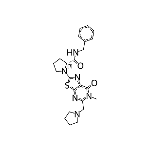 Cn1c(CN2CCCC2)nc2sc(N3CCC[C@@H]3C(=O)NCc3ccccc3)nc2c1=O